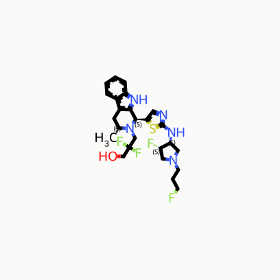 C[C@@H]1Cc2c([nH]c3ccccc23)[C@@H](c2cnc(N[C@H]3CN(CCCF)C[C@@H]3F)s2)N1CC(F)(F)CO